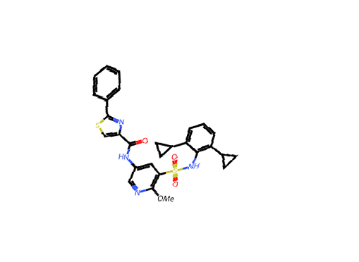 COc1ncc(NC(=O)c2csc(-c3ccccc3)n2)cc1S(=O)(=O)Nc1c(C2CC2)cccc1C1CC1